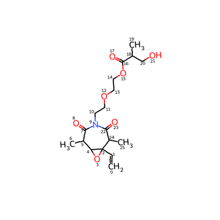 C=CC12OC1C(C)C(=O)N(CCOCCOC(=O)C(C)CO)C(=O)C2C